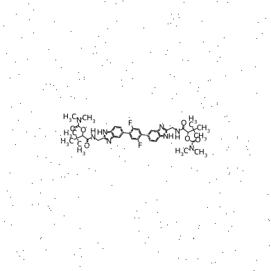 CN(C)C(=O)OC(C(=O)NCc1nc2cc(-c3cc(F)c(-c4ccc5[nH]c(CNC(=O)C(OC(=O)N(C)C)C(C)(C)C)nc5c4)cc3F)ccc2[nH]1)C(C)(C)C